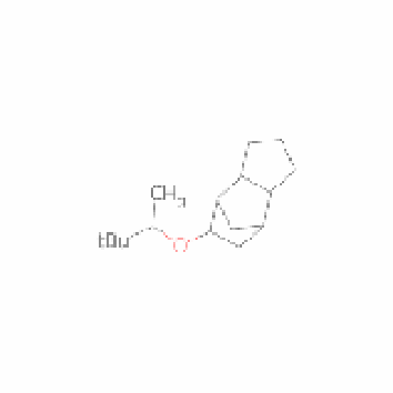 CC(OC1CC2CC1C1CCCC21)C(C)(C)C